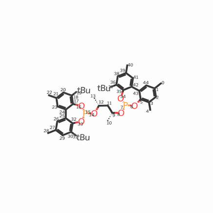 Cc1cc(C)c2op(O[C@H](C)C[C@@H](C)Op3oc4c(C(C)(C)C)cc(C)cc4c4cc(C)cc(C(C)(C)C)c4o3)oc3c(C(C)(C)C)cc(C)cc3c2c1